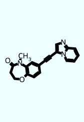 CN1C(=O)CCOc2ccc(C#Cc3cnc4ccccn34)cc21